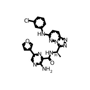 C[C@@H](NC(=O)c1nc(-c2ccoc2)cnc1N)c1nnc2ccc(Nc3cccc(Cl)c3)nn12